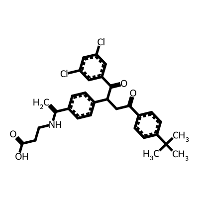 C=C(NCCC(=O)O)c1ccc(C(CC(=O)c2ccc(C(C)(C)C)cc2)C(=O)c2cc(Cl)cc(Cl)c2)cc1